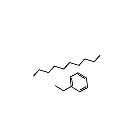 CCCCCCCCCC.CCc1ccccc1